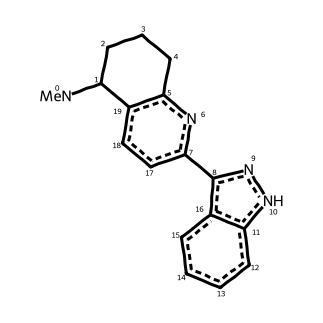 CNC1CCCc2nc(-c3n[nH]c4ccccc34)ccc21